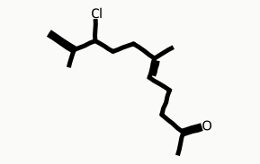 C=C(C)C(Cl)CCC(C)=CCCC(C)=O